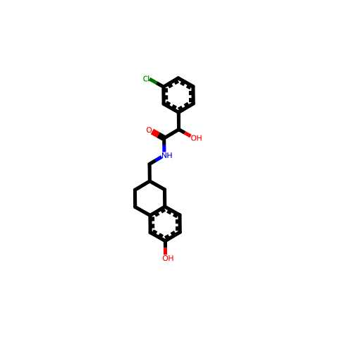 O=C(NCC1CCc2cc(O)ccc2C1)C(O)c1cccc(Cl)c1